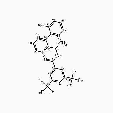 CC(NC(=O)c1cc(C(F)(F)F)cc(C(F)(F)F)c1)c1nccnc1-c1ncccc1F